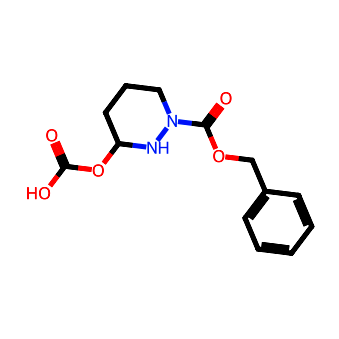 O=C(O)OC1CCCN(C(=O)OCc2ccccc2)N1